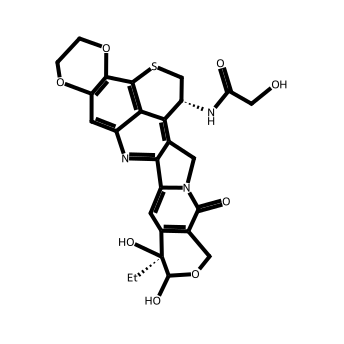 CC[C@]1(O)c2cc3n(c(=O)c2COC1O)Cc1c-3nc2cc3c(c4c2c1[C@@H](NC(=O)CO)CS4)OCCO3